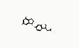 COC(=O)CC1COc2cc(O[C@@H]3CCc4c3cc(F)cc4C(F)(F)F)ccc21